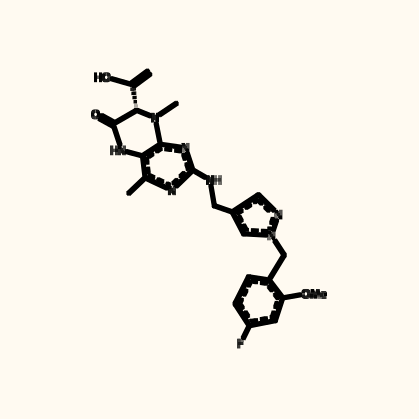 C=C(O)[C@H]1C(=O)Nc2c(C)nc(NCc3cnn(Cc4ccc(F)cc4OC)c3)nc2N1C